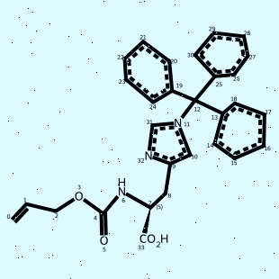 C=CCOC(=O)N[C@@H](Cc1cn(C(c2ccccc2)(c2ccccc2)c2ccccc2)cn1)C(=O)O